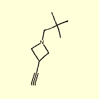 C#CC1CN(CC(C)(C)C)C1